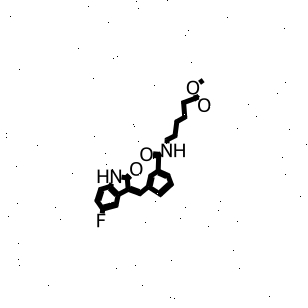 COC(=O)CCCCCNC(=O)c1cccc(C=C2C(=O)Nc3ccc(F)cc32)c1